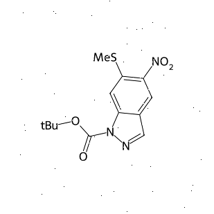 CSc1cc2c(cnn2C(=O)OC(C)(C)C)cc1[N+](=O)[O-]